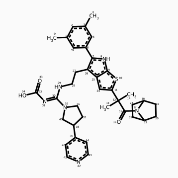 Cc1cc(C)cc(-c2[nH]c3sc(C(C)(C)C(=O)N4C5CCC4CC5)cc3c2CCN/C(=N\C(=O)O)N2CCC(c3ccncc3)C2)c1